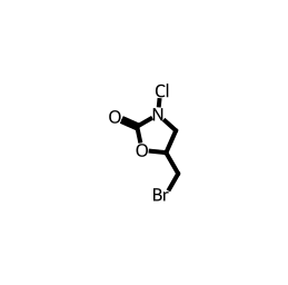 O=C1OC(CBr)CN1Cl